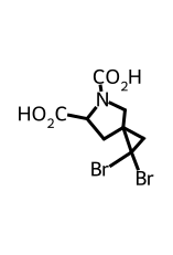 O=C(O)C1CC2(CN1C(=O)O)CC2(Br)Br